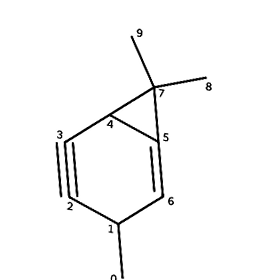 CC1C#CC2C(=C1)C2(C)C